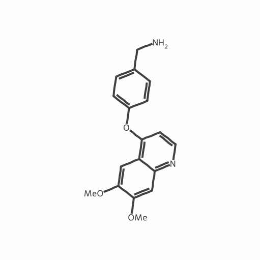 COc1cc2nccc(Oc3ccc(CN)cc3)c2cc1OC